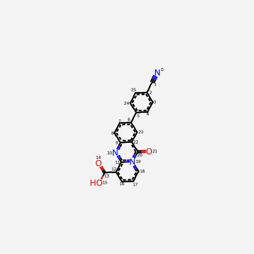 N#Cc1ccc(-c2ccc3nc4c(C(=O)O)cccn4c(=O)c3c2)cc1